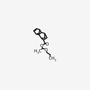 CCCOC(C)OC(=O)C1CC2CC1C1C3C=CC(C3)C21